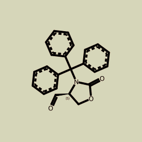 O=C[C@@H]1COC(=O)N1C(c1ccccc1)(c1ccccc1)c1ccccc1